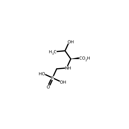 CC(O)[C@H](NCP(=O)(O)O)C(=O)O